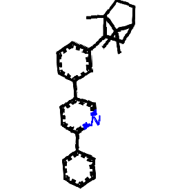 CC1(C)C2CCC1(C)C(c1cccc(-c3ccc(-c4ccccc4)nc3)c1)C2